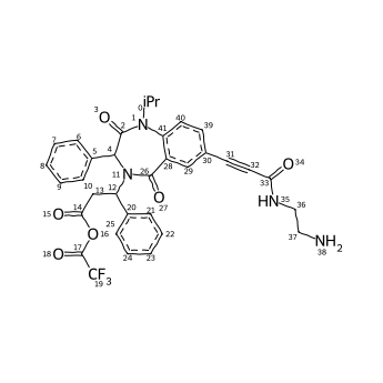 CC(C)N1C(=O)C(c2ccccc2)N(C(CC(=O)OC(=O)C(F)(F)F)c2ccccc2)C(=O)c2cc(C#CC(=O)NCCN)ccc21